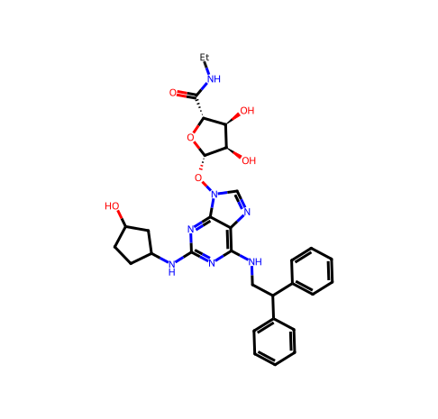 CCNC(=O)[C@H]1O[C@@H](On2cnc3c(NCC(c4ccccc4)c4ccccc4)nc(NC4CCC(O)C4)nc32)[C@H](O)[C@@H]1O